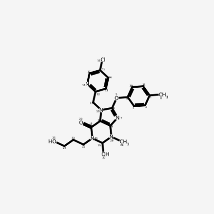 Cc1ccc(Oc2nc3c(n2Cc2ccc(Cl)cn2)C(=O)N(CCCO)C(O)N3C)cc1